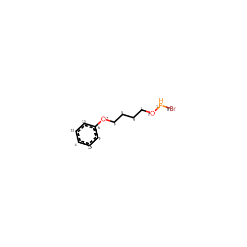 BrPOCCCCOc1ccccc1